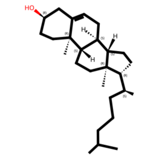 CC(C)CCC[C@H](C)[C@H]1CC[C@H]2[C@@H]3CC=C4C[C@H](O)CC[C@]4(C)[C@H]3CC[C@]12C